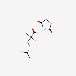 CC(C)OCC(C)(C)C(=O)ON1C(=O)CCC1=O